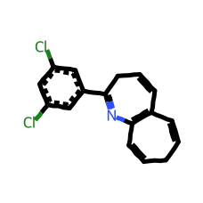 Clc1cc(Cl)cc(C2=NC3=C(C=CCC=C3)C=CC2)c1